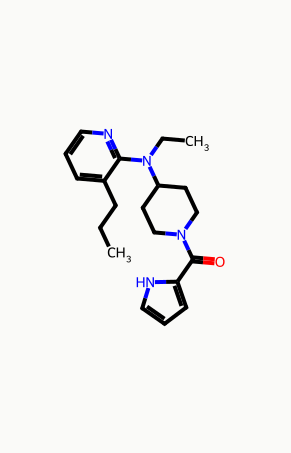 CCCc1cccnc1N(CC)C1CCN(C(=O)c2ccc[nH]2)CC1